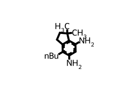 CCCCc1c(N)cc(N)c2c1CCC2(C)C